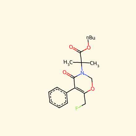 CCCCOC(=O)C(C)(C)N1COC(CF)=C(c2ccccc2)C1=O